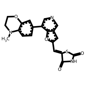 CN1CCOc2cc(-c3cncc4cc(/C=C5\SC(=O)NC5=O)oc34)ccc21